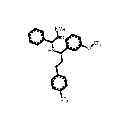 CNC(=O)[C@@H](N[C@H](CCc1ccc(C(F)(F)F)cc1)c1cccc(OC(F)(F)F)c1)c1ccccc1